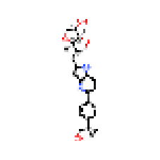 OCC1(c2ccc(-c3ccc4[nH]c(C[C@@H]5CO[C@H]6[C@@H]5OC[C@H]6O)cc4n3)cc2)CC1